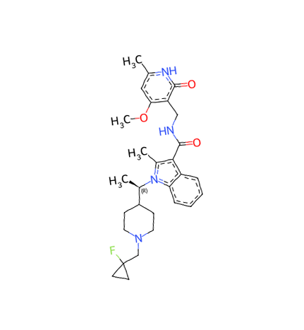 COc1cc(C)[nH]c(=O)c1CNC(=O)c1c(C)n([C@H](C)C2CCN(CC3(F)CC3)CC2)c2ccccc12